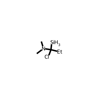 CCC([SiH3])(Cl)N(C)C